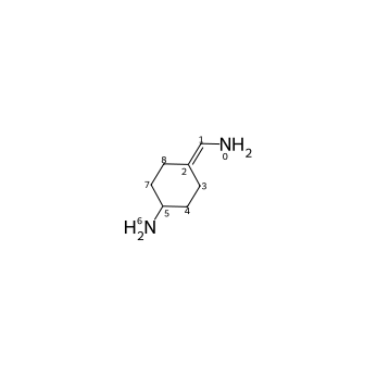 NC=C1CCC(N)CC1